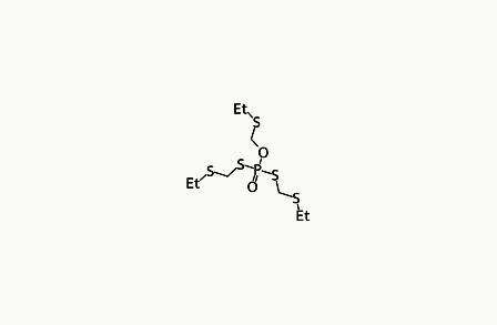 CCSCOP(=O)(SCSCC)SCSCC